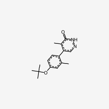 Cc1cc(OC(C)(C)C)ccc1-c1cn[nH]c(=O)c1C